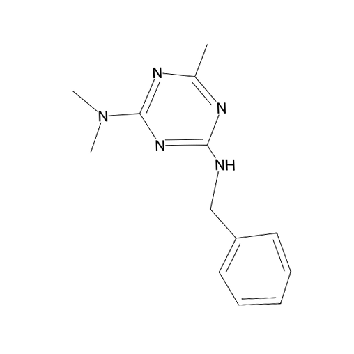 Cc1nc(NCc2ccccc2)nc(N(C)C)n1